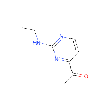 CCNc1nccc(C(C)=O)n1